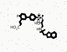 CN(C[C@H](O)CNC(C)(C)CC1Cc2ccccc2C1)S(=O)(=O)c1ccc(-c2ccc(F)c(C=CC(=O)O)c2)cc1